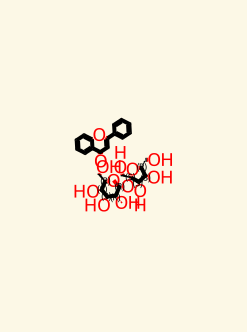 O=c1cc(-c2ccccc2)oc2ccccc12.OC[C@H]1O[C@@](CO)(O[C@H]2O[C@H](CO)[C@@H](O)[C@H](O)[C@H]2O)[C@@H](O)[C@@H]1O